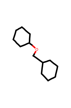 [CH](OC1CCCCC1)C1CCCCC1